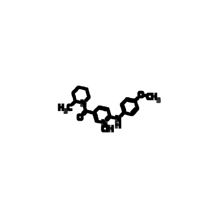 COc1ccc(Nc2ccc(C(=O)N3CCCCC3C)cn2)cc1.Cl